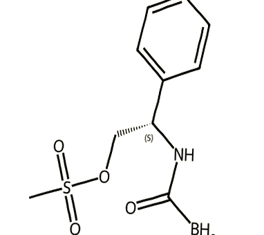 BC(=O)N[C@H](COS(C)(=O)=O)c1ccccc1